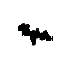 COC(=O)N[C@H](C(=O)N1CCC[C@H]1c1nc2cc([C@H]3CC[C@H](c4cc5nc([C@@H]6CCCN6C(=O)[C@@H](NC(=O)O)[C@@H](C)OC(C)(C)C)[nH]c5cc4F)N3c3cc(F)c(N4CCC(C(C)(C)C)CC4)c(F)c3)c(F)cc2[nH]1)[C@@H](C)OC(C)(C)C